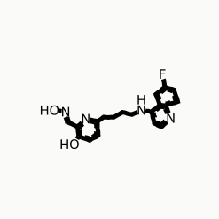 ON=Cc1nc(CCCCNc2ccnc3ccc(F)cc23)ccc1O